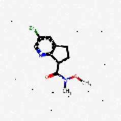 CON(C)C(=O)C1CCc2cc(Br)cnc21